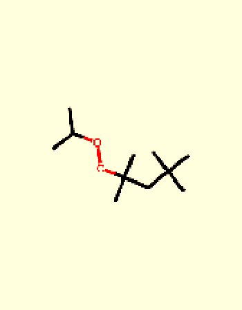 CC(C)OOC(C)(C)CC(C)(C)C